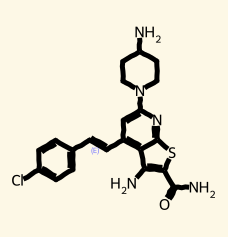 NC(=O)c1sc2nc(N3CCC(N)CC3)cc(/C=C/c3ccc(Cl)cc3)c2c1N